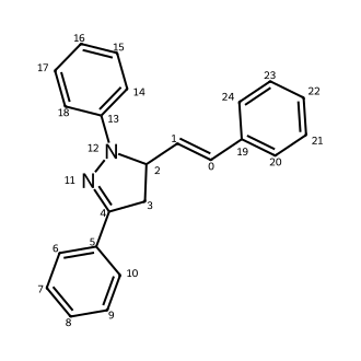 C(=CC1CC(c2ccccc2)=NN1c1ccccc1)c1ccccc1